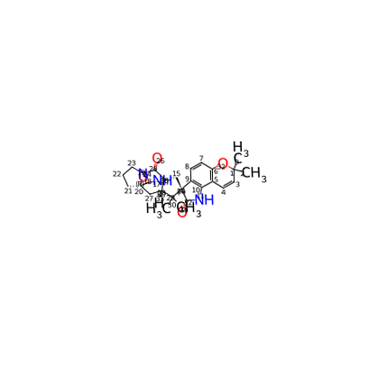 CC1(C)C=Cc2c(ccc3c2NC(=O)[C@@]32C[C@]34NC(=O)[C@@]5(CCCN5C3=O)C[C@H]4C2(C)C)O1